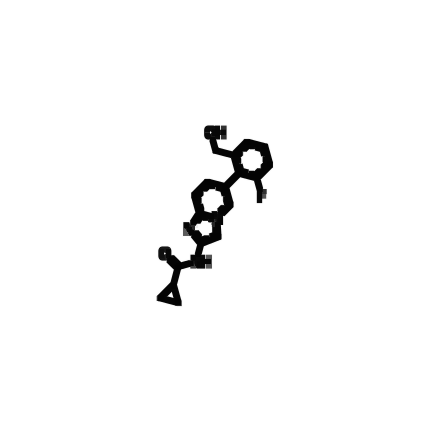 O=C(Nc1cn2cc(-c3c(F)cccc3CO)ccc2n1)C1CC1